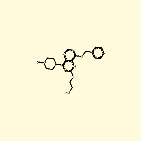 [O-][S+]1CCN(c2nc(NCCO)nc3c(SCc4ccccc4)ncnc23)CC1